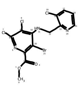 COC(=O)c1nc(Cl)c(Cl)c(NCc2ncccc2Cl)c1Br